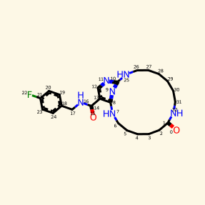 O=C1CCCCCNc2nc(ncc2C(=O)NCc2ccc(F)cc2)NCCCCCCN1